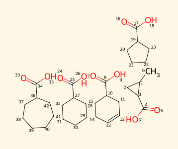 CC1CC1C(=O)O.O=C(O)C1CC=CCC1.O=C(O)C1CCCC1.O=C(O)C1CCCCC1.O=C(O)C1CCCCCC1